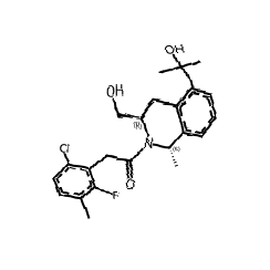 Cc1ccc(Cl)c(CC(=O)N2[C@@H](CO)Cc3c(cccc3C(C)(C)O)[C@@H]2C)c1F